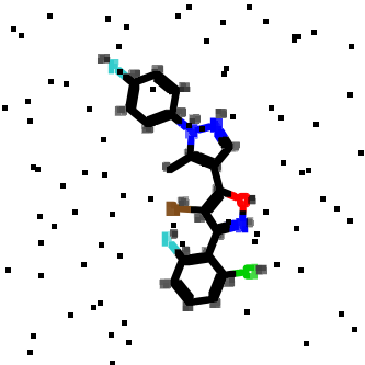 Cc1c(-c2onc(-c3c(F)cccc3Cl)c2Br)cnn1-c1ccc(F)cc1